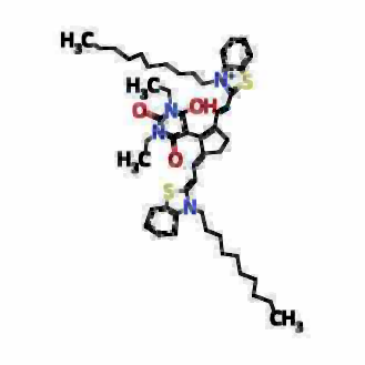 CCCCCCCCCCN1/C(=C/C=C2\CCC(/C=C/c3sc4ccccc4[n+]3CCCCCCCCCC)=C2c2c(O)n(CC)c(=O)n(CC)c2=O)Sc2ccccc21